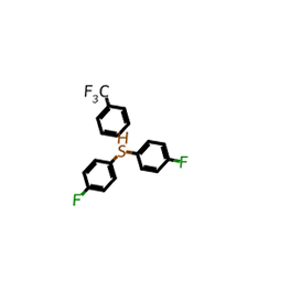 Fc1ccc([SH](c2ccc(F)cc2)c2ccc(C(F)(F)F)cc2)cc1